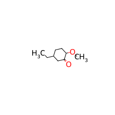 CCC1CCC(OC)C(=O)C1